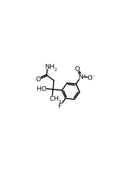 CC(O)(CC(N)=O)c1cc([N+](=O)[O-])ccc1F